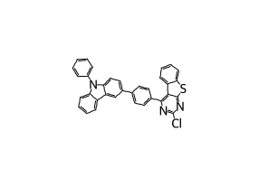 Clc1nc(-c2ccc(-c3ccc4c(c3)c3ccccc3n4-c3ccccc3)cc2)c2c(n1)sc1ccccc12